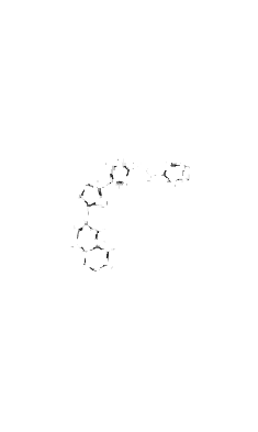 c1ccc2ncc(-c3ccc(-c4nnc(SCc5nnn[nH]5)[nH]4)o3)cc2c1